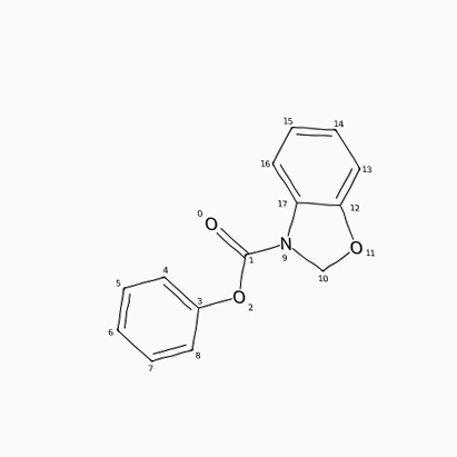 O=C(Oc1ccccc1)N1COc2ccccc21